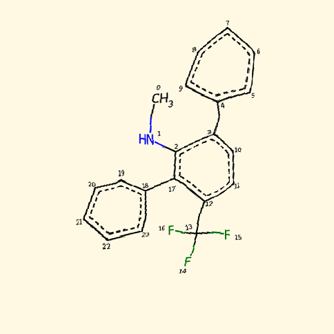 CNc1c(-c2ccccc2)ccc(C(F)(F)F)c1-c1ccccc1